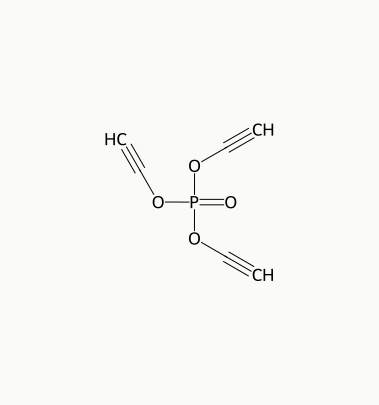 C#COP(=O)(OC#C)OC#C